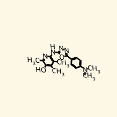 Cc1nc(Nc2nnc(-c3ccc(N(C)C)cc3)o2)c(C)c(C)c1O